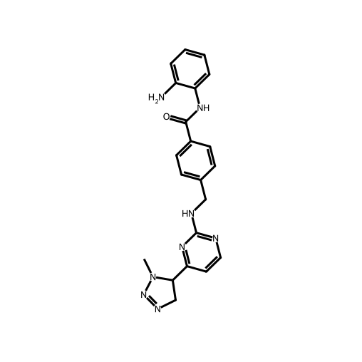 CN1N=NCC1c1ccnc(NCc2ccc(C(=O)Nc3ccccc3N)cc2)n1